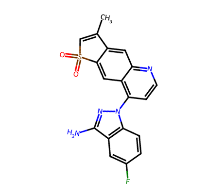 CC1=CS(=O)(=O)c2cc3c(-n4nc(N)c5cc(F)ccc54)ccnc3cc21